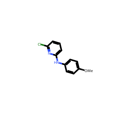 COc1ccc(Nc2cccc(Cl)n2)cc1